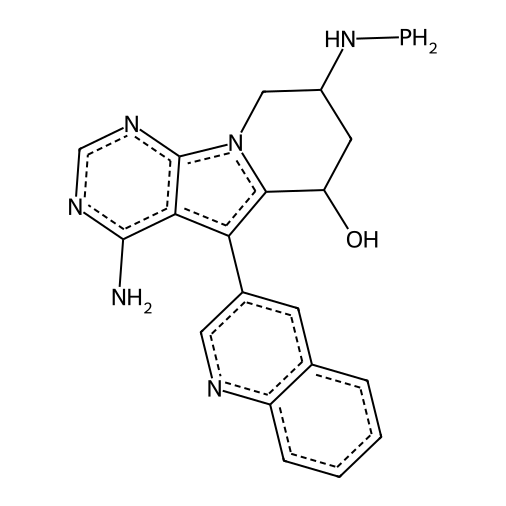 Nc1ncnc2c1c(-c1cnc3ccccc3c1)c1n2CC(NP)CC1O